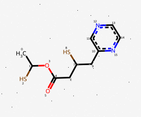 CC(S)OC(=O)CC(S)Cc1cnccn1